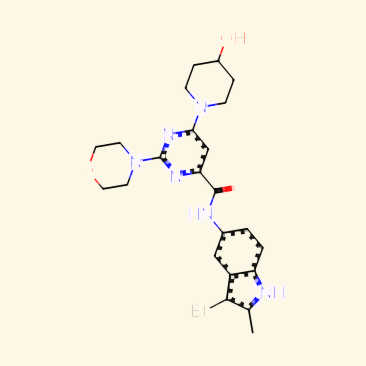 CCc1c(C)[nH]c2ccc(NC(=O)c3cc(N4CCC(O)CC4)nc(N4CCOCC4)n3)cc12